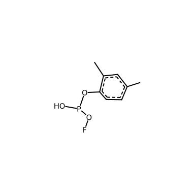 Cc1ccc(OP(O)OF)c(C)c1